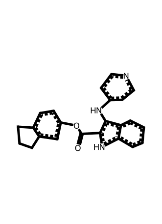 O=C(Oc1ccc2c(c1)CCC2)c1[nH]c2ccccc2c1Nc1ccncc1